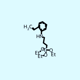 C=Cc1ccccc1NCC[CH2][Ti]([O]CC)([O]CC)[O]CC